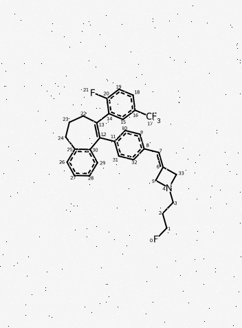 FCCCN1CC(=Cc2ccc(C3=C(c4cc(C(F)(F)F)ccc4F)CCCc4ccccc43)cc2)C1